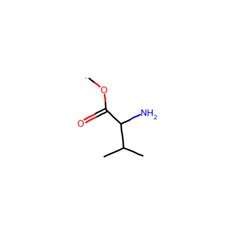 [CH2]OC(=O)C(N)C(C)C